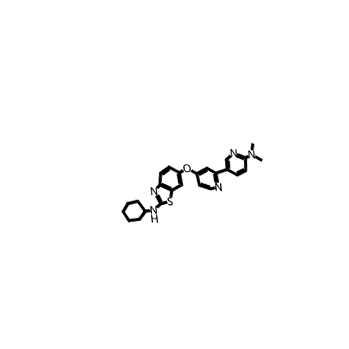 CN(C)c1ccc(-c2cc(Oc3ccc4nc(NC5CCCCC5)sc4c3)ccn2)cn1